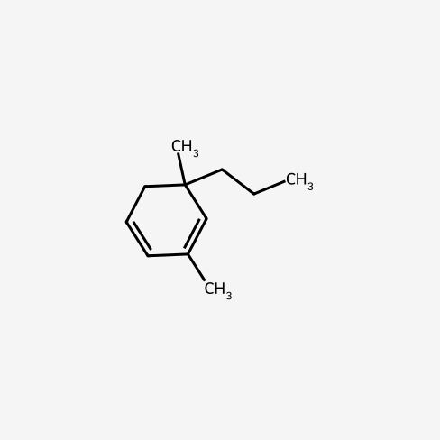 CCCC1(C)C=C(C)C=CC1